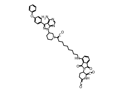 Nc1ncnc2c1c(-c1ccc(Oc3ccccc3)cc1)nn2C1CCCN(C(=C=O)CCCCCCCCNc2cccc3c2C(=O)N(C2CCC(=C=O)NC2=C=O)C3=O)C1